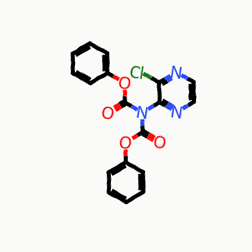 O=C(Oc1ccccc1)N(C(=O)Oc1ccccc1)c1nccnc1Cl